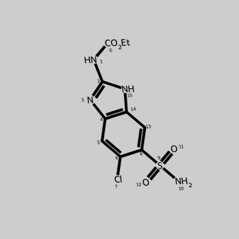 CCOC(=O)Nc1nc2cc(Cl)c(S(N)(=O)=O)cc2[nH]1